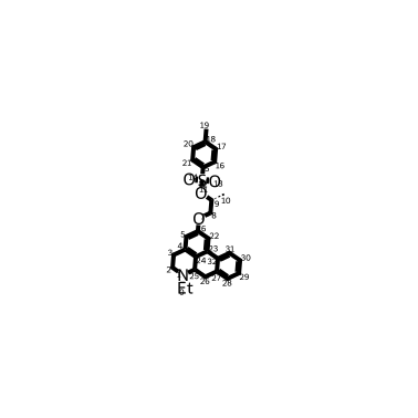 CCN1CCc2cc(OC[C@@H](C)OS(=O)(=O)c3ccc(C)cc3)cc3c2C1Cc1ccccc1-3